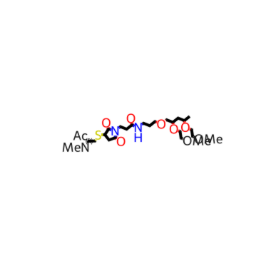 CN[C@@H](CSC1CC(=O)N(CCC(=O)NCCCOCC(CC(C)OCCOC)OCCOC)C1=O)C(C)=O